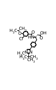 CC(C)Oc1ccc(C(=O)N[C@H](CC(=O)O)Cc2ccc(-c3cn(C)c(C(C)(C)C)n3)cc2)cc1Cl